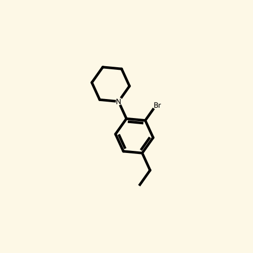 CCc1ccc(N2CCCCC2)c(Br)c1